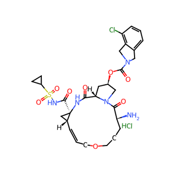 Cl.N[C@H]1CCCOCC=C[C@@H]2C[C@@]2(C(=O)NS(=O)(=O)C2CC2)NC(=O)[C@@H]2C[C@@H](OC(=O)N3Cc4cccc(Cl)c4C3)CN2C1=O